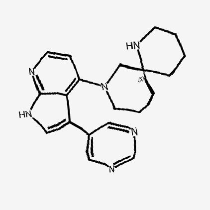 c1ncc(-c2c[nH]c3nccc(N4CCC[C@@]5(CCCCN5)C4)c23)cn1